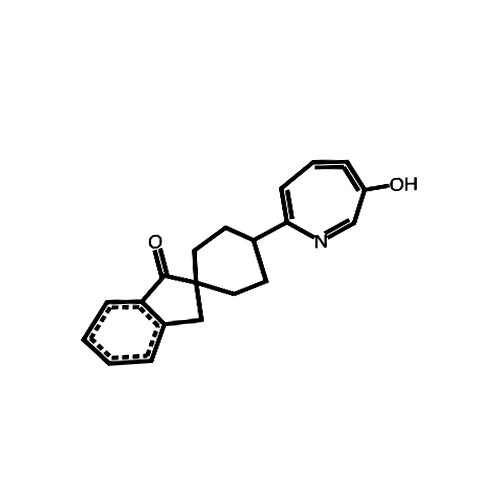 O=C1c2ccccc2CC12CCC(C1=CC=C=C(O)C=N1)CC2